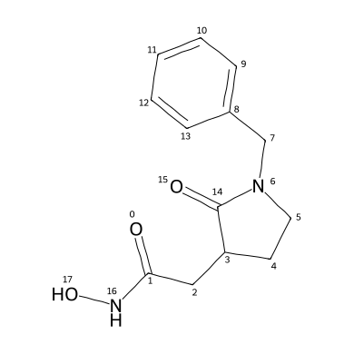 O=C(CC1CCN(Cc2ccccc2)C1=O)NO